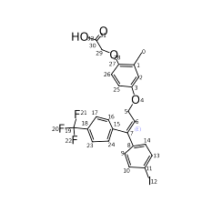 Cc1cc(OC/C=C(/c2ccc(I)cc2)c2ccc(C(F)(F)F)cc2)ccc1OCC(=O)O